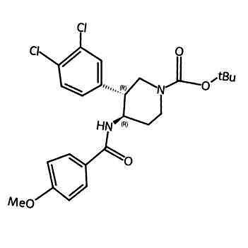 COc1ccc(C(=O)N[C@@H]2CCN(C(=O)OC(C)(C)C)C[C@H]2c2ccc(Cl)c(Cl)c2)cc1